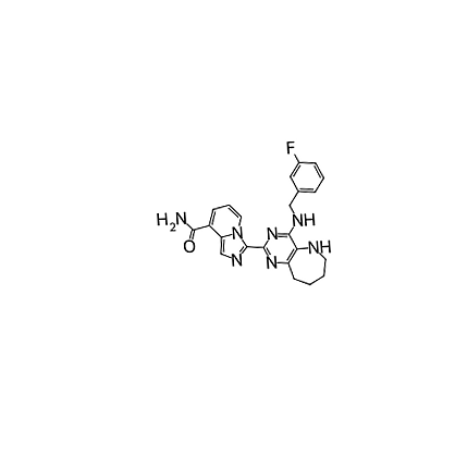 NC(=O)c1cccn2c(-c3nc4c(c(NCc5cccc(F)c5)n3)NCCCC4)ncc12